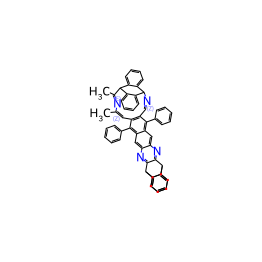 CC1=C/c2c(c(-c3ccccc3)c3cc4nc5c(nc4cc3c2-c2ccccc2)C2c3ccccc3C5c3ccccc32)/C=N\C2c3ccccc3C(\C(C)=N\1)c1ccccc12